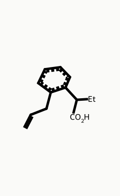 C=CCc1ccccc1C(CC)C(=O)O